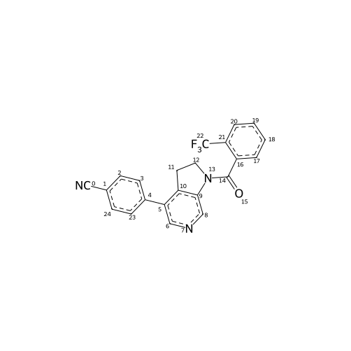 N#Cc1ccc(-c2cncc3c2CCN3C(=O)c2ccccc2C(F)(F)F)cc1